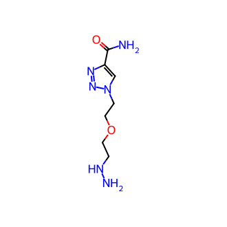 NNCCOCCn1cc(C(N)=O)nn1